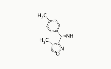 Cc1ccc(C(=N)c2nocc2C)cc1